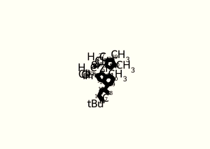 CC1=C(C)[CH]([Zr+2]([CH]2C(C(C)C)=Cc3c(-c4ccc(C(C)(C)C)cc4)cccc32)=[Si](C)C)C(C)=C1C.[Cl-].[Cl-]